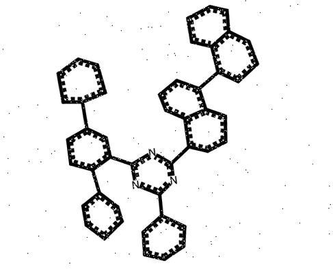 c1ccc(-c2ccc(-c3ccccc3)c(-c3nc(-c4ccccc4)nc(-c4cccc5c(-c6cccc7ccccc67)cccc45)n3)c2)cc1